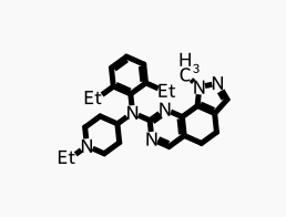 CCc1cccc(CC)c1N(c1ncc2c(n1)-c1c(cnn1C)CC2)C1CCN(CC)CC1